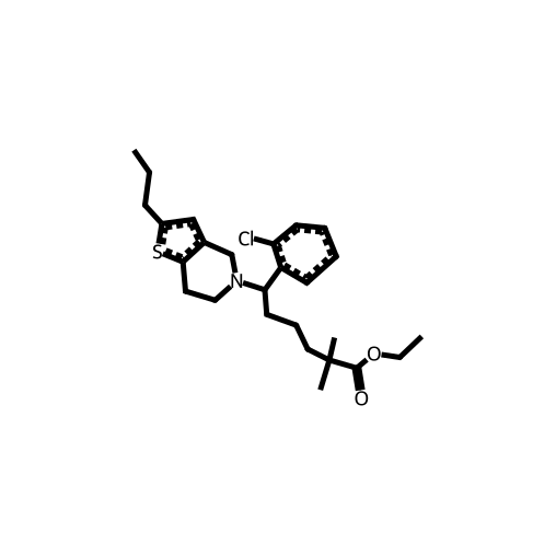 CCCc1cc2c(s1)CCN(C(CCCC(C)(C)C(=O)OCC)c1ccccc1Cl)C2